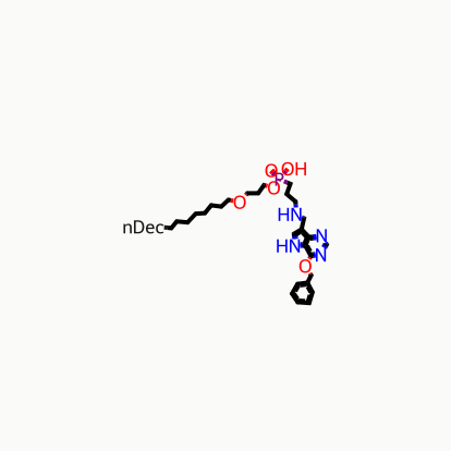 CCCCCCCCCCCCCCCCCCOCCCOP(=O)(O)CCCNCc1c[nH]c2c(OCc3ccccc3)ncnc12